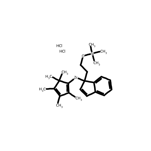 CC1=C(C)C(C)(C)[C]([Zr][C]2(CCO[Si](C)(C)C)C=Cc3ccccc32)=C1C.Cl.Cl